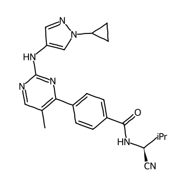 Cc1cnc(Nc2cnn(C3CC3)c2)nc1-c1ccc(C(=O)N[C@H](C#N)C(C)C)cc1